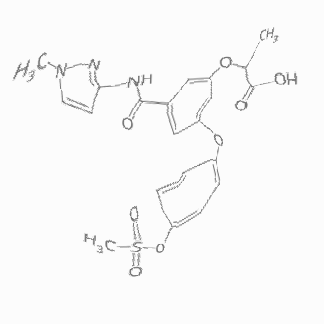 CC(Oc1cc(Oc2ccc(OS(C)(=O)=O)cc2)cc(C(=O)Nc2ccn(C)n2)c1)C(=O)O